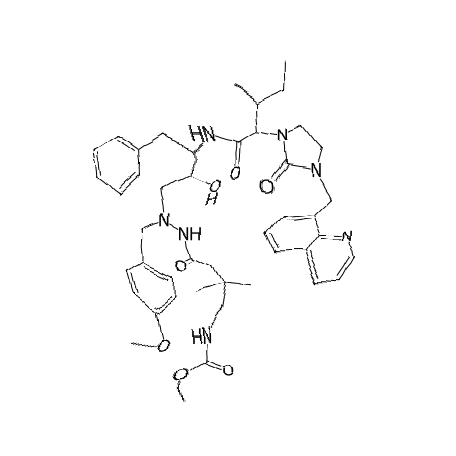 CCC(C)C(C(=O)NC(Cc1ccccc1)C(O)CN(Cc1ccc(OC)cc1)NC(=O)CC(C)(C)CNC(=O)OC)N1CCN(Cc2cccc3cccnc23)C1=O